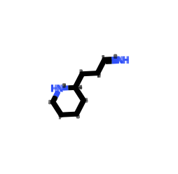 N=CCCC1CCCCN1